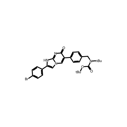 CCCCN(Cc1ccc(-c2cn3cc(-c4ccc(Br)cc4)[nH]c3nc2=O)cc1)C(=O)OC(C)(C)C